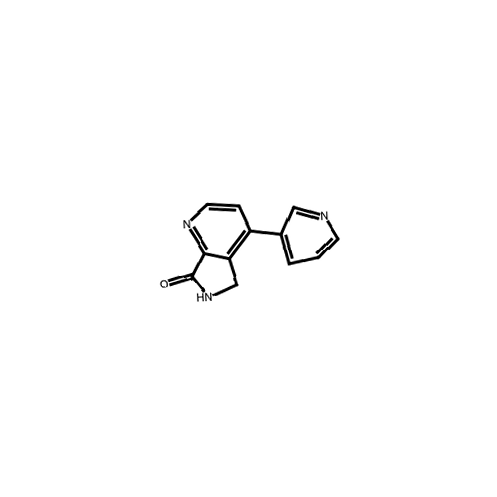 O=C1NCc2c(-c3cccnc3)ccnc21